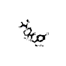 C=N/C(=C(\C)Cl)N1CCC(N)(C(=O)N[C@@H](COC)c2ccc(Cl)cc2)CC1